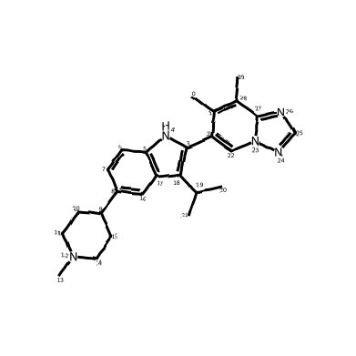 Cc1c(-c2[nH]c3ccc(C4CCN(C)CC4)cc3c2C(C)C)cn2ncnc2c1C